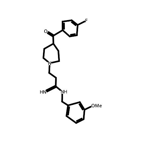 COc1cccc(CNC(=N)CCN2CCC(C(=O)c3ccc(F)cc3)CC2)c1